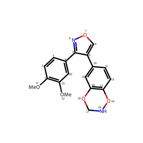 COc1ccc(-c2nocc2-c2ccc3c(c2)OCNO3)cc1OC